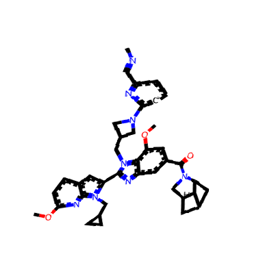 C/N=C/c1cccc(N2CC(Cn3c(-c4cc5ccc(OC)nc5n4CC4CC4)nc4cc(C(=O)N5CC6CC7CC5[C@H]76)cc(OC)c43)C2)n1